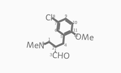 CNC[C@@H](C=O)Cc1cc(Cl)ccc1OC